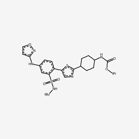 CC(C)OC(=O)NC1CCC(c2ncc(-c3ccc(Nc4ccon4)cc3S(=O)(=O)NC(C)(C)C)s2)CC1